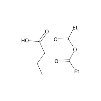 CCC(=O)OC(=O)CC.CCCC(=O)O